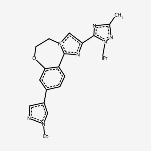 [CH2][CH]n1cc(-c2ccc3c(c2)OCCn2cc(-c4nc(C)nn4C(C)C)nc2-3)cn1